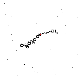 CCCCCCCCCCOc1ccc([C@H]2CC[C@H](C(=O)Oc3ccc(C(=O)OCc4ccccc4)cc3)CC2)cc1